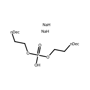 CCCCCCCCCCCCOP(=O)(O)OCCCCCCCCCCCC.[NaH].[NaH]